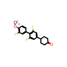 O=C1CCC(c2cc(F)c(-c3ccc(OC(F)(F)F)c(F)c3)c(F)c2)CC1